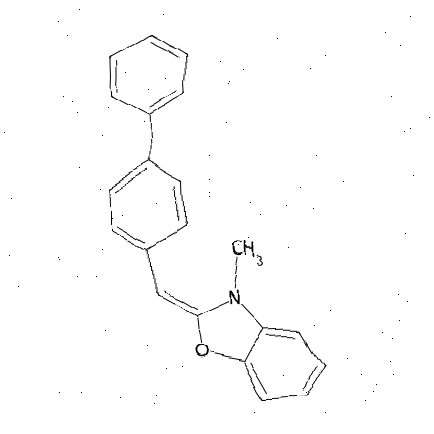 CN1C(=Cc2ccc(-c3ccccc3)cc2)Oc2ccccc21